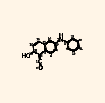 O=C=C1c2ccc(Nc3ccccc3)cc2C=CC1O